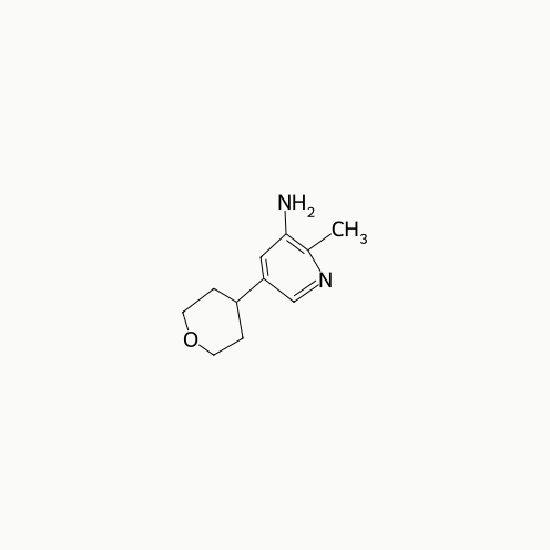 Cc1ncc(C2CCOCC2)cc1N